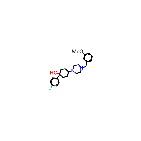 COc1cccc(CN2CCN(C3CCC(O)(c4ccc(F)cc4)CC3)CC2)c1